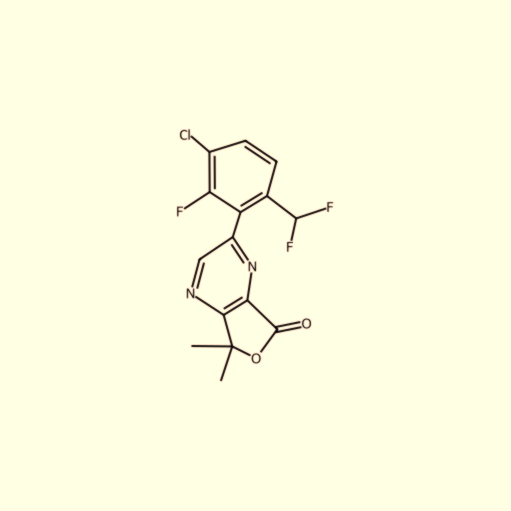 CC1(C)OC(=O)c2nc(-c3c(C(F)F)ccc(Cl)c3F)cnc21